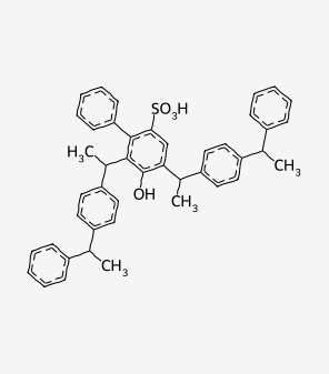 CC(c1ccccc1)c1ccc(C(C)c2cc(S(=O)(=O)O)c(-c3ccccc3)c(C(C)c3ccc(C(C)c4ccccc4)cc3)c2O)cc1